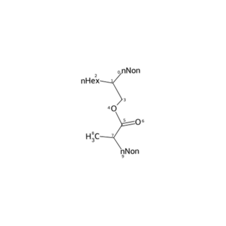 CCCCCCCCCC(CCCCCC)COC(=O)C(C)CCCCCCCCC